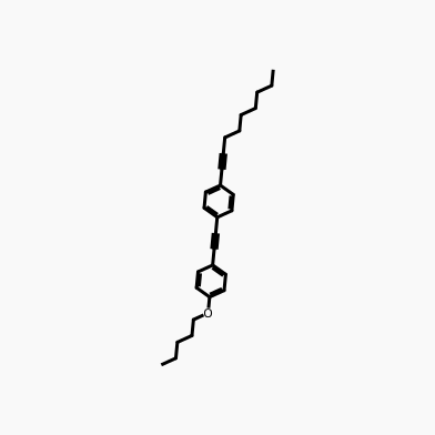 CCCCCCCC#Cc1ccc(C#Cc2ccc(OCCCCC)cc2)cc1